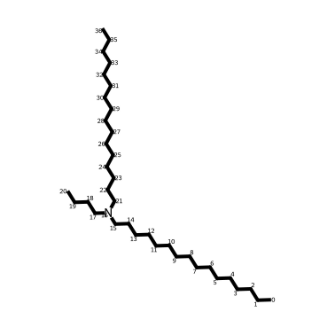 CCCCCCCCCCCCCCCCN(CCCC)CCCCCCCCCCCCCCCC